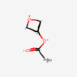 CC[CH]CC(=O)OC1COC1